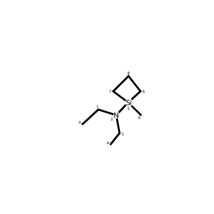 CCN(CC)[Si]1(C)CCC1